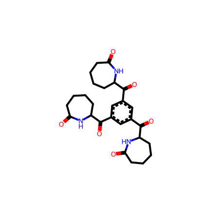 O=C1CCCCC(C(=O)c2cc(C(=O)C3CCCCC(=O)N3)cc(C(=O)C3CCCCC(=O)N3)c2)N1